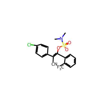 CN(C)S(=O)(=O)OC(=C(C#N)c1ccc(Cl)cc1)c1ccccc1C(F)(F)F